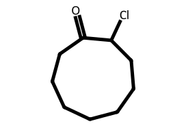 O=C1CCCCCCCC1Cl